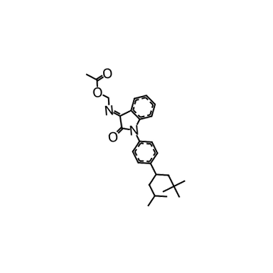 CC(=O)OC/N=C1/C(=O)N(c2ccc(C(CC(C)C)CC(C)(C)C)cc2)c2ccccc21